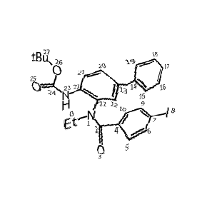 CCN(C(=O)c1ccc(I)cc1)c1cc(-c2ccccc2)ccc1NC(=O)OC(C)(C)C